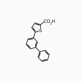 O=C(O)c1ccc(-c2cccc(-c3ccccc3)c2)s1